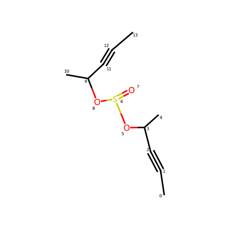 CC#CC(C)OS(=O)OC(C)C#CC